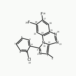 Cc1nc(-c2ccccc2Cl)n2c1nnc1cc(F)c(F)cc12